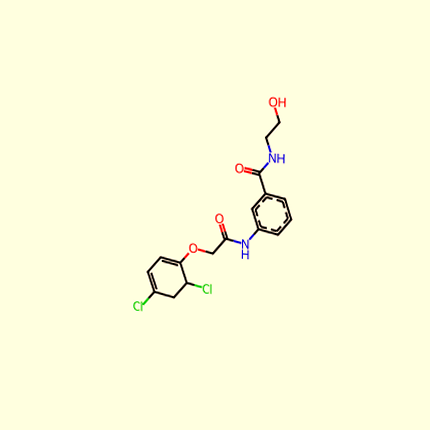 O=C(COC1=CC=C(Cl)CC1Cl)Nc1cccc(C(=O)NCCO)c1